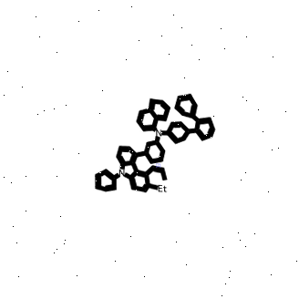 C/C=C\c1c(CC)ccc2c1c1c(C3CCCC(N(C4=CCC(c5ccccc5-c5ccccc5)C=C4)c4cccc5ccccc45)C3)cccc1n2-c1ccccc1